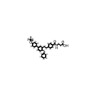 O=C(O)CCNC(=O)c1ccc(CCc2cc(-c3ccc(OC(F)(F)F)cc3)ccc2Sc2ccccc2)cc1